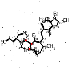 C=C/C=C(\C=N/CNC1N/C=C/CC(C)/C(CCC(=C/C)/C(F)=C2/C[C@@H](C)N(CC)C2=C)=C\1F)N1CCN(C)CC1